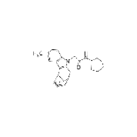 Cc1ccc2c(c1)c1c(n2CC(=O)NC2CCCCC2)CC2CCCC1C2C